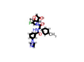 C[C@H]1CC[C@H](C(NC(=O)c2cccc(-n3ccnc3)c2)C(=O)N2C[C@H](F)[C@H]3OCC(=O)[C@H]32)CC1